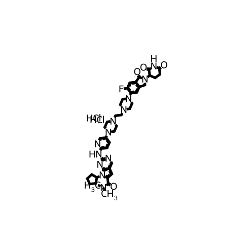 CN(C)C(=O)c1cc2cnc(Nc3ccc(N4CCN(CCN5CCN(c6cc7c(cc6F)C(=O)N(C6CCC(=O)NC6=O)C7)CC5)CC4)cn3)nc2n1C1CCCC1.Cl.Cl